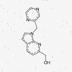 OCc1ccc2ccn(Cc3cnccn3)c2n1